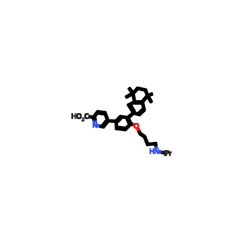 CC(C)NCCCCOc1ccc(-c2ccc(C(=O)O)nc2)cc1-c1ccc2c(c1)C(C)(C)CCC2(C)C